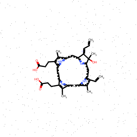 C=C/C=C1/c2cc3[nH]c(cc4nc(cc5[nH]c(cc(n2)C1(C)O)c(C=C)c5C)C(C)=C4CCC(=O)O)c(CCC(=O)O)c3C